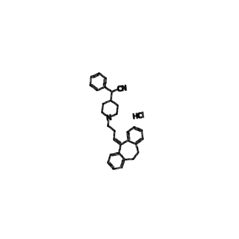 Cl.N#CC(c1ccccc1)C1CCN(CCC=C2c3ccccc3CCc3ccccc32)CC1